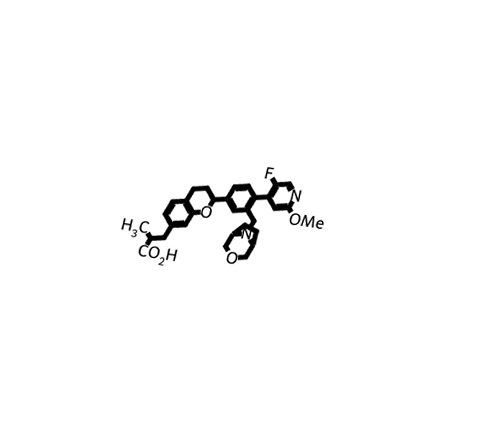 COc1cc(-c2ccc(C3CCc4ccc(CC(C)C(=O)O)cc4O3)cc2CN2C3CCC2COC3)c(F)cn1